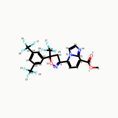 COC(=O)c1ccc(C2=NOC(c3cc(C(F)(F)F)cc(C(F)(F)F)c3)(C(F)(F)F)C2)n2ccnc12